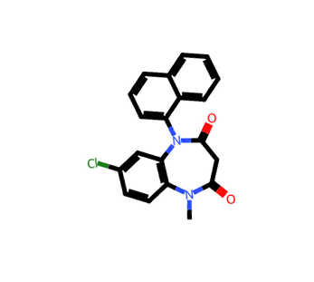 CN1C(=O)CC(=O)N(c2cccc3ccccc23)c2cc(Cl)ccc21